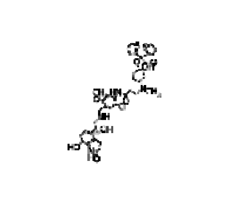 COc1cc(NC(=O)CCN(C)[C@H]2CC[C@H](OC(C(=O)O)(c3cccs3)c3cccs3)CC2)c(Cl)cc1CNC[C@H](O)c1ccc(O)c2[nH]c(=O)ccc12